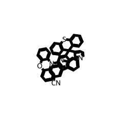 N#Cc1ccc2c(c1)c1ccccc1n2-c1cccc2c1C1(c3ccccc3S2)c2cccnc2-c2ncc(N3c4ccccc4Oc4ccccc43)cc21